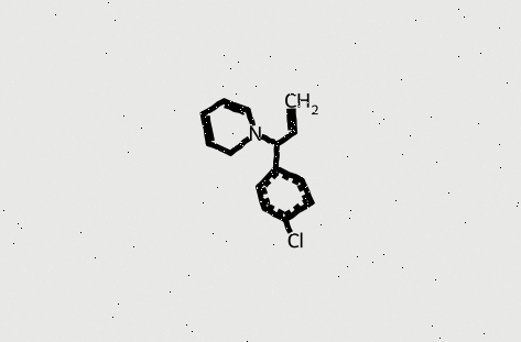 C=CC(c1ccc(Cl)cc1)N1C=CC=CC1